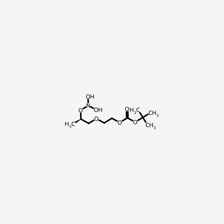 C[C@H](COCCOC(=O)OC(C)(C)C)ON(O)O